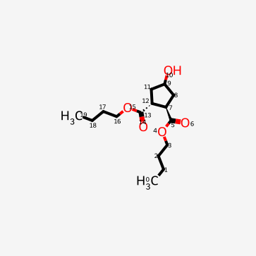 CCCCOC(=O)[C@@H]1CC(O)C[C@H]1C(=O)OCCCC